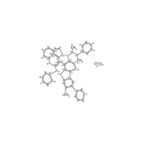 Cc1cc2c(cc1-c1ccccc1)-c1ccc(CC(C)C(C)c3ccccc3)[c]([Zr+2]([C]3=CC=CC3)=[C](Cc3ccccc3)Cc3ccccc3)c1C2.[Cl-].[Cl-]